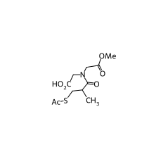 COC(=O)CN(CC(=O)O)C(=O)C(C)CSC(C)=O